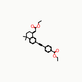 CCOC(=O)C=C1CCC(C)(C)c2ccc(C#Cc3ccc(C(=O)OCC)cc3)cc21